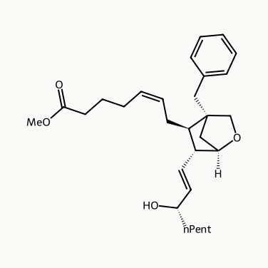 CCCCC[C@H](O)/C=C/[C@@H]1[C@@H](C/C=C\CCCC(=O)OC)[C@@]2(Cc3ccccc3)CO[C@@H]1C2